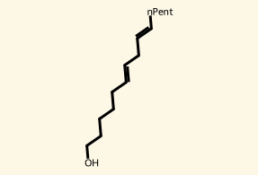 CCCCCC=CCC=CCCCCCO